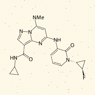 CNc1cc(Nc2cccn([C@@H]3C[C@H]3F)c2=O)nc2c(C(=O)NC3CC3)cnn12